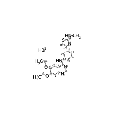 Br.CCOc1cc2ncnc(Nc3cccc(-c4csc(NC)n4)c3)c2cc1OCC